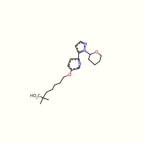 CC(C)(CCCCCOc1ccc(-c2ccnn2C2CCCCO2)nc1)C(=O)O